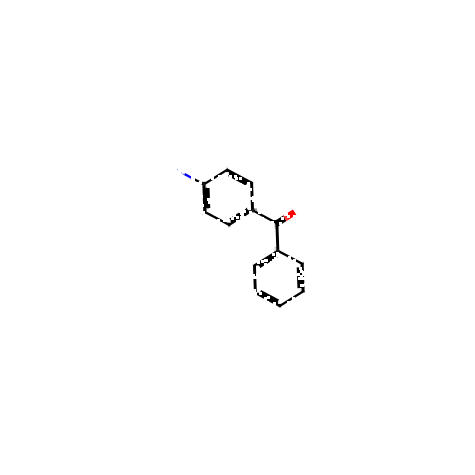 Nc1[c]cc(C(=O)c2ccccc2)cc1